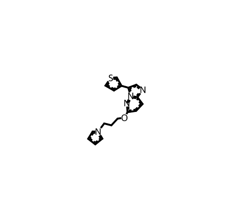 c1ccn(CCCOc2ccc3ncc(-c4ccsc4)n3n2)c1